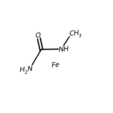 CNC(N)=O.[Fe]